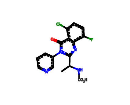 CC(NC(=O)O)c1nc2c(F)ccc(Cl)c2c(=O)n1-c1cccnc1